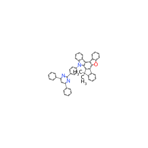 CC1(C)c2ccccc2-c2c1c1c(c3ccccc3n1-c1ccc(-c3nc(-c4ccccc4)cc(-c4ccccc4)n3)cc1)c1c2oc2ccccc21